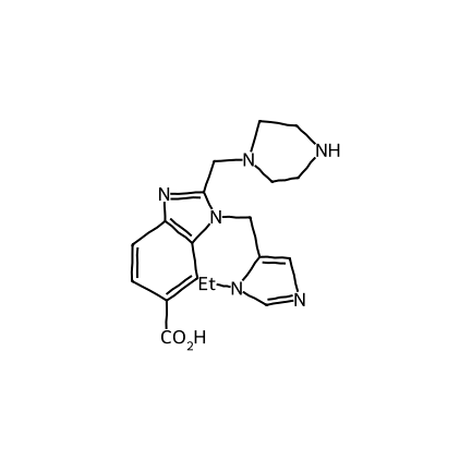 CCn1cncc1Cn1c(CN2CCNCC2)nc2ccc(C(=O)O)cc21